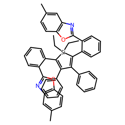 CC[Si]1(CC)C(c2ccccc2-c2nc3cc(C)ccc3o2)=C(c2ccccc2)C(c2ccccc2)=C1c1ccccc1-c1nc2cc(C)ccc2o1